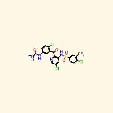 CN(C)C(=O)Nc1ccc(Cl)c(C(=O)c2ncc(Cl)cc2NS(=O)(=O)c2ccc(Cl)c(C(F)(F)F)c2)c1